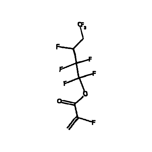 C=C(F)C(=O)OC(F)(F)C(F)(F)C(F)CC(F)(F)F